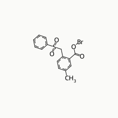 Cc1ccc(CS(=O)(=O)c2ccccc2)c(C(=O)OBr)c1